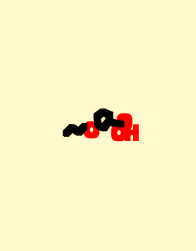 CCCCOC1CCCC(C(=O)O)C1